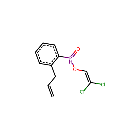 C=CCc1ccccc1[PH](=O)OC=C(Cl)Cl